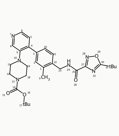 Cc1cc(-c2ccncc2N2CCN(C(=O)OC(C)(C)C)CC2)ccc1CNC(=O)c1noc(C(C)(C)C)n1